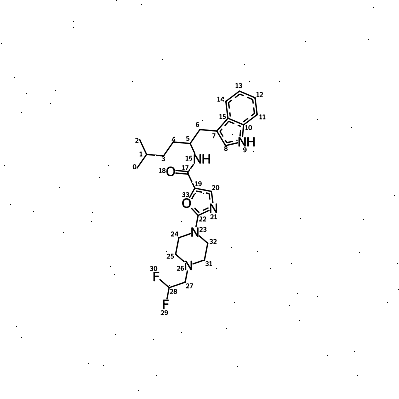 CC(C)CCC(Cc1c[nH]c2ccccc12)NC(=O)c1cnc(N2CCN(CC(F)F)CC2)o1